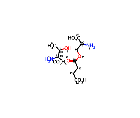 C[C@@H](O)[C@H](N)C(=O)O.N[C@@H](COC(=O)CCC(=O)O)C(=O)O